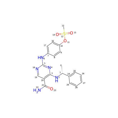 C[C@@H](Nc1nc(Nc2ccc(OS(C)(=O)=O)cc2)ncc1C(N)=O)c1ccccc1